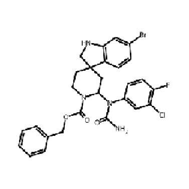 NC(=O)N(c1ccc(F)c(Cl)c1)C1CC2(CCN1C(=O)OCc1ccccc1)CNc1cc(Br)ccc12